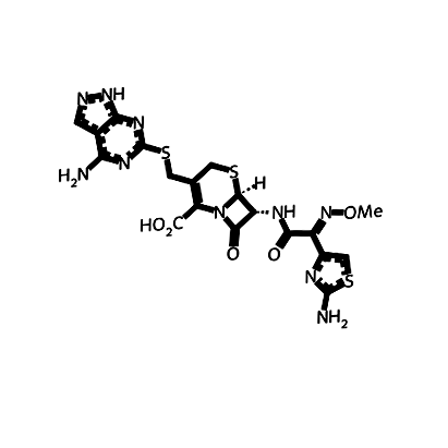 CON=C(C(=O)N[C@@H]1C(=O)N2C(C(=O)O)=C(CSc3nc(N)c4cn[nH]c4n3)CS[C@@H]12)c1csc(N)n1